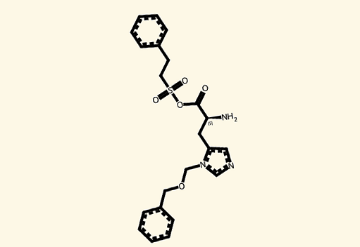 N[C@@H](Cc1cncn1COCc1ccccc1)C(=O)OS(=O)(=O)CCc1ccccc1